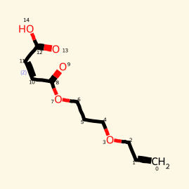 C=CCOCCCOC(=O)/C=C\C(=O)O